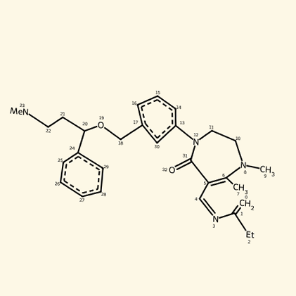 C=C(CC)/N=C\C1=C(C)N(C)CCN(c2cccc(COC(CCNC)c3ccccc3)c2)C1=O